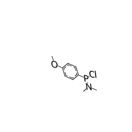 COc1ccc(P(Cl)N(C)C)cc1